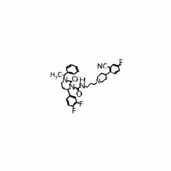 C[C@H](c1ccccc1)N1CCC(c2ccc(F)c(F)c2)N(C(=O)NCCCN2CCC(c3ccc(F)cc3C#N)CC2)C1=O